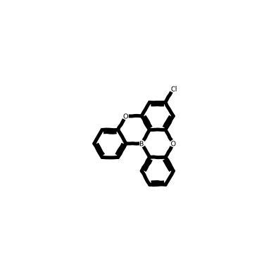 Clc1cc2c3c(c1)Oc1ccccc1B3c1ccccc1O2